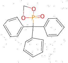 O=P1(C(c2ccccc2)(c2ccccc2)c2ccccc2)OCO1